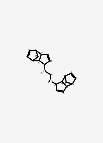 C1=CC2CC1C1C=CC(OCOC3C=CC4C5C=CC(C5)C34)C21